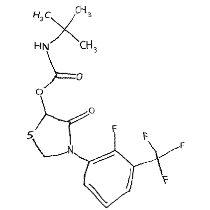 CC(C)(C)NC(=O)OC1SCN(c2cccc(C(F)(F)F)c2F)C1=O